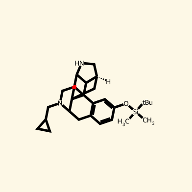 CC(C)(C)[Si](C)(C)Oc1ccc2c(c1)C13CCN(CC4CC4)C(C2)C12CCC1NC[C@@H](C2)C13